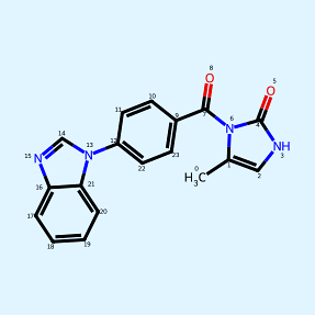 Cc1c[nH]c(=O)n1C(=O)c1ccc(-n2cnc3ccccc32)cc1